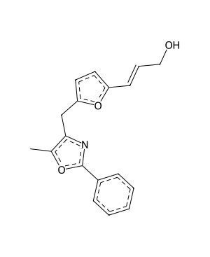 Cc1oc(-c2ccccc2)nc1Cc1ccc(/C=C/CO)o1